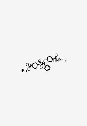 CC(C)(C)OC(=O)N1CCC(S(=O)(=O)N(Cc2ccc(C(=O)NN)cc2)c2ccccc2)CC1